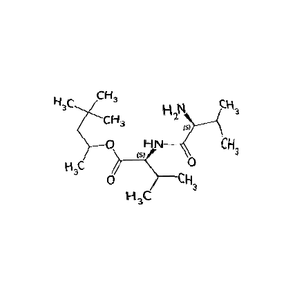 CC(CC(C)(C)C)OC(=O)[C@@H](NC(=O)[C@@H](N)C(C)C)C(C)C